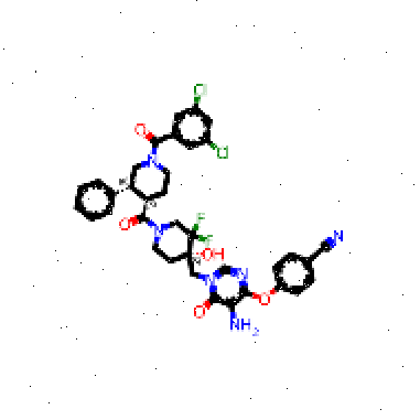 N#Cc1ccc(Oc2ncn(C[C@@]3(O)CCN(C(=O)[C@@H]4CCN(C(=O)c5cc(Cl)cc(Cl)c5)C[C@H]4c4ccccc4)CC3(F)F)c(=O)c2N)cc1